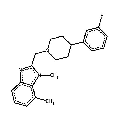 Cc1cccc2nc(CN3CCC(c4cccc(F)c4)CC3)n(C)c12